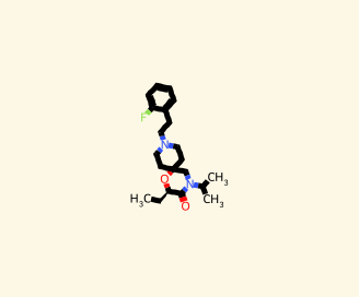 CC[C@H]1OC2(CCN(CCc3ccccc3F)CC2)CN(C(C)C)C1=O